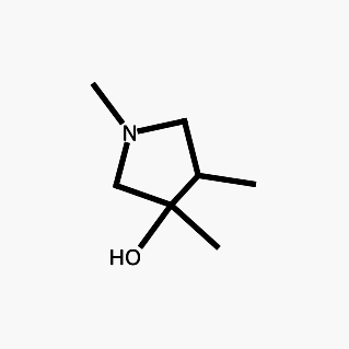 CC1CN(C)CC1(C)O